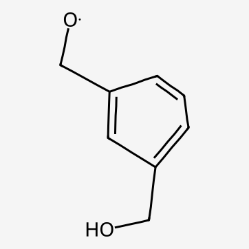 [O]Cc1cccc(CO)c1